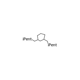 CCCC(C)CC1CCCC(CC(C)CCC)C1